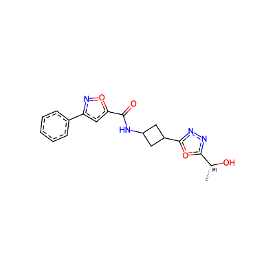 C[C@@H](O)c1nnc(C2CC(NC(=O)c3cc(-c4ccccc4)no3)C2)o1